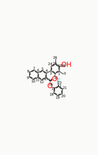 Cc1cc(-c2cc3ccccc3cc2C(=O)Oc2ccccc2F)cc(C)c1O